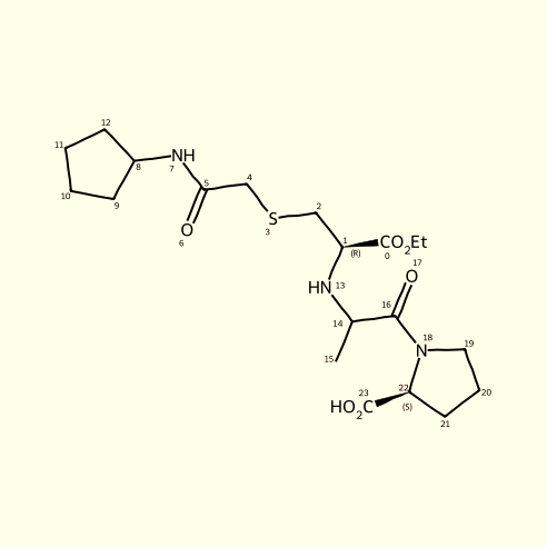 CCOC(=O)[C@H](CSCC(=O)NC1CCCC1)NC(C)C(=O)N1CCC[C@H]1C(=O)O